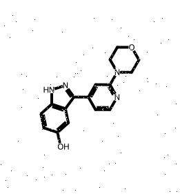 Oc1ccc2[nH]nc(-c3ccnc(N4CCOCC4)c3)c2c1